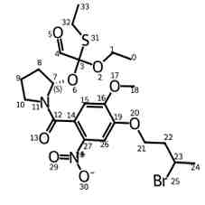 CCOC(C=O)(O[C@H]1CCCN1C(=O)c1cc(OC)c(OCCC(C)Br)cc1[N+](=O)[O-])SCC